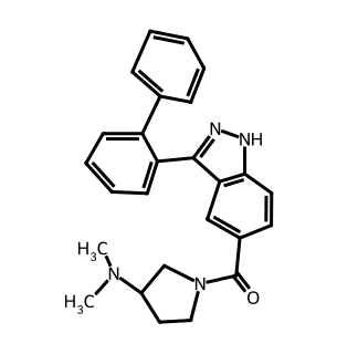 CN(C)C1CCN(C(=O)c2ccc3[nH]nc(-c4ccccc4-c4ccccc4)c3c2)C1